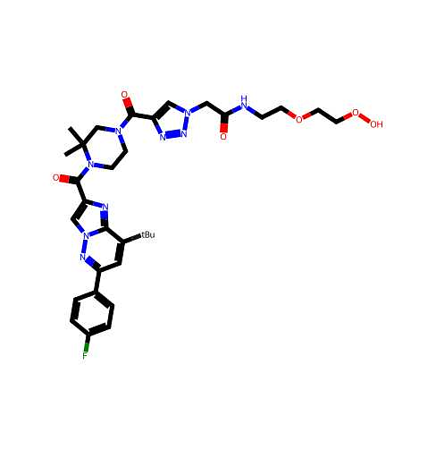 CC(C)(C)c1cc(-c2ccc(F)cc2)nn2cc(C(=O)N3CCN(C(=O)c4cn(CC(=O)NCCOCCOO)nn4)CC3(C)C)nc12